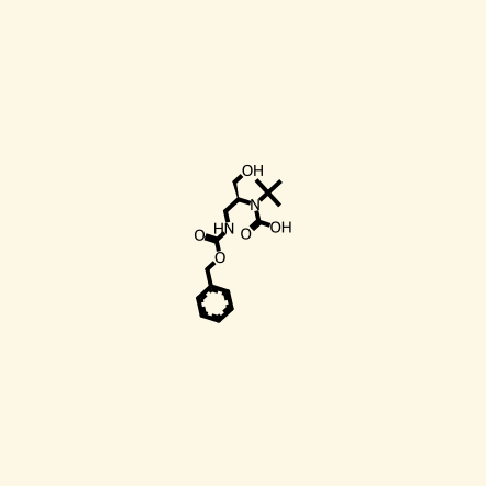 CC(C)(C)N(C(=O)O)[C@H](CO)CNC(=O)OCc1ccccc1